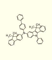 CC1(C)c2ccccc2-c2ccc(N(c3ccc(-c4ccccc4)cc3)c3ccc4c(c3)c3c(n4-c4ccccc4)-c4ccccc4C3(C)C)cc21